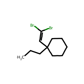 [CH2]CCC1(C=C(Br)Br)CCCCC1